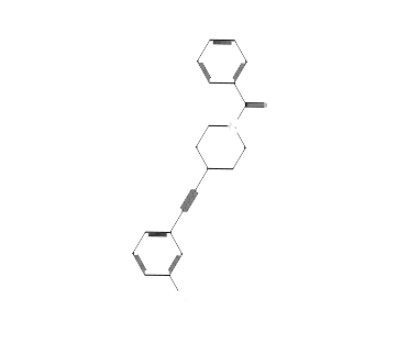 O=C(c1ccccc1)N1CCC(C#Cc2cccc(Br)c2)CC1